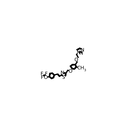 Cc1cc(OCc2csc(C=Cc3ccc(OC(F)(F)F)cc3)n2)ccc1COCCn1ccnn1